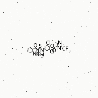 Cc1ncc(C(F)(F)F)nc1C(=O)Oc1c(Cl)cc(NC(=S)NC(=O)c2ccccc2[N+](=O)[O-])cc1Cl